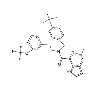 Cc1cc2cc[nH]c2c(C(=O)N(CCc2cccc(OC(F)(F)F)c2)Cc2ccc(C(C)(C)C)cc2)n1